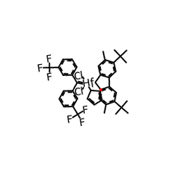 Cc1cc2c(cc1C(C)(C)C)-c1cc(C(C)(C)C)c(C)cc1[CH]2[Hf]([Cl])([Cl])(=[C](c1cccc(C(F)(F)F)c1)c1cccc(C(F)(F)F)c1)[CH]1C=CC=C1